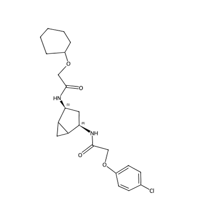 O=C(COC1CCCCC1)N[C@H]1C[C@@H](NC(=O)COc2ccc(Cl)cc2)C2CC21